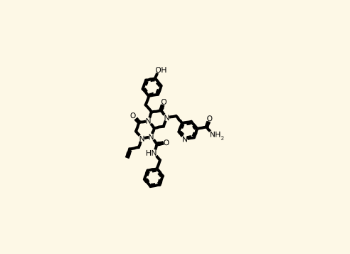 C=CCN1CC(=O)N2C(Cc3ccc(O)cc3)C(=O)N(Cc3cncc(C(N)=O)c3)CC2N1C(=O)NCc1ccccc1